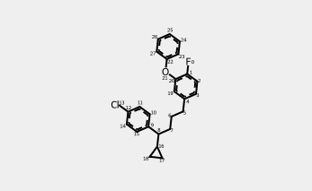 Fc1ccc(CCCC(c2ccc(Cl)cc2)C2CC2)cc1Oc1ccccc1